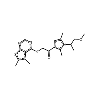 COCC(C)n1c(C)cc(C(=O)CSc2ncnc3sc(C)c(C)c23)c1C